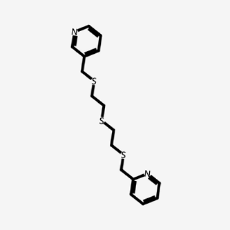 c1ccc(CSCCSCCSCc2cccnc2)nc1